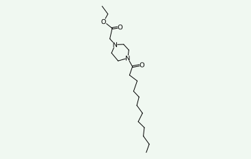 CCCCCCCCCCCC(=O)N1CCN(CC(=O)OCC)CC1